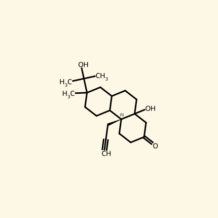 C#CC[C@]12CCC(=O)CC1(O)CCC1CC(C)(C(C)(C)O)CCC12